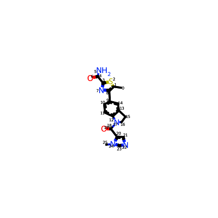 Cc1sc(C(N)=O)nc1-c1ccc2c(c1)CCN2C(=O)c1cncn1C